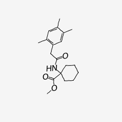 COC(=O)C1(NC(=O)Cc2cc(C)c(C)cc2C)CCCCC1